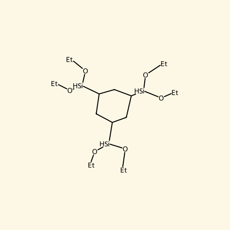 CCO[SiH](OCC)C1CC([SiH](OCC)OCC)CC([SiH](OCC)OCC)C1